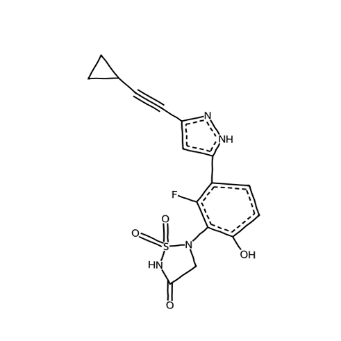 O=C1CN(c2c(O)ccc(-c3cc(C#CC4CC4)n[nH]3)c2F)S(=O)(=O)N1